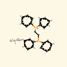 [Br-].[Br-].[Co+2].c1ccc(P(CCP(c2ccccc2)c2ccccc2)c2ccccc2)cc1